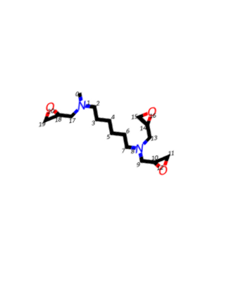 CN(CCCCCCN(CC1CO1)CC1CO1)CC1CO1